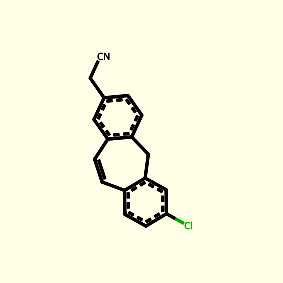 N#CCc1ccc2c(c1)C=Cc1ccc(Cl)cc1C2